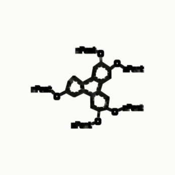 CCCCCOc1ccc2c(c1)c1cc(OCCCCC)c(OCCCCC)cc1c1cc(OCCCCC)c(OCCCCC)cc21